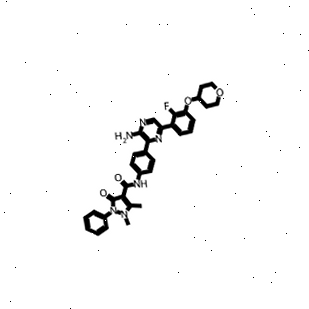 Cc1c(C(=O)Nc2ccc(-c3nc(-c4cccc(OC5CCOCC5)c4F)cnc3N)cc2)c(=O)n(-c2ccccc2)n1C